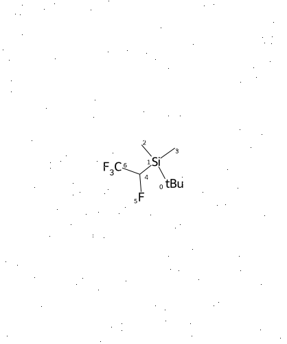 CC(C)(C)[Si](C)(C)C(F)C(F)(F)F